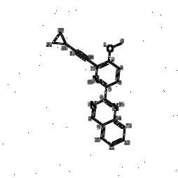 COc1ccc(-c2ncc3ccccc3n2)nc1C#CC1CC1